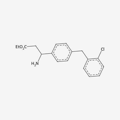 CCOC(=O)CC(N)c1ccc(Cc2ccccc2Cl)cc1